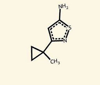 CC1(c2cc(N)sn2)CC1